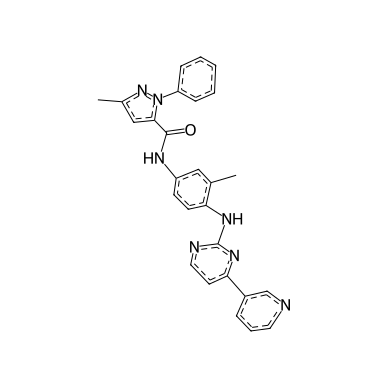 Cc1cc(C(=O)Nc2ccc(Nc3nccc(-c4cccnc4)n3)c(C)c2)n(-c2ccccc2)n1